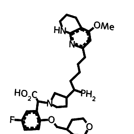 COc1cc(CCCCC(P)C2CCN(C(C(=O)O)c3cc(F)ccc3OCC3CCOCC3)C2)nc2c1CCCN2